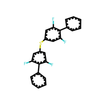 Fc1cc(Sc2cc(F)c(-c3ccccc3)c(F)c2)cc(F)c1-c1ccccc1